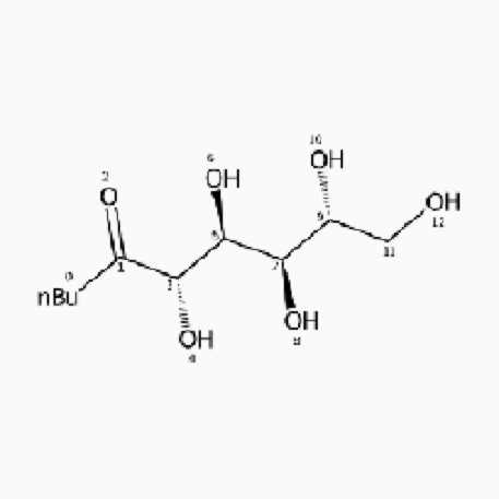 CCCCC(=O)[C@@H](O)[C@@H](O)[C@H](O)[C@H](O)CO